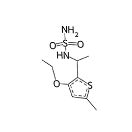 CCOc1cc(C)sc1C(C)NS(N)(=O)=O